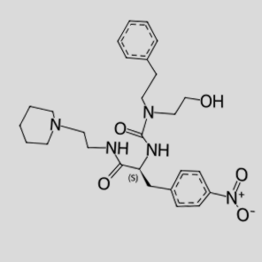 O=C(NCCN1CCCCC1)[C@H](Cc1ccc([N+](=O)[O-])cc1)NC(=O)N(CCO)CCc1ccccc1